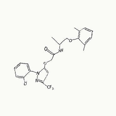 Cc1cccc(C)c1OCC(C)NC(=O)COc1cc(C(F)(F)F)nn1-c1ccccc1Cl